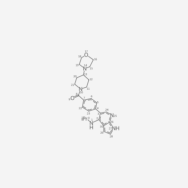 CC(C)Nc1c(-c2ccc(C(=O)N3CCC(N4CCOCC4)CC3)cc2)cnc2[nH]ccc12